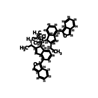 CCC1=Cc2c(-c3occ4ccccc34)cccc2[CH]1[Zr]([Cl])([Cl])([CH]1C(CC)=Cc2c(-c3occ4ccccc34)cccc21)=[Si](C)C